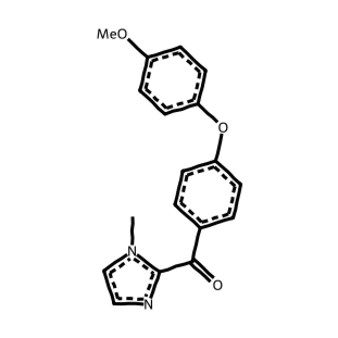 COc1ccc(Oc2ccc(C(=O)c3nccn3C)cc2)cc1